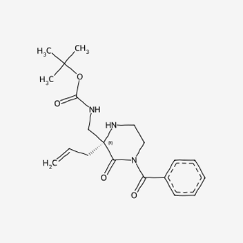 C=CC[C@]1(CNC(=O)OC(C)(C)C)NCCN(C(=O)c2ccccc2)C1=O